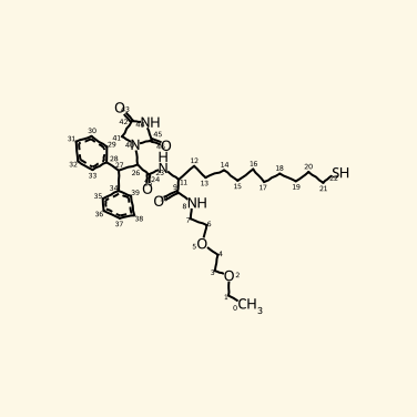 CCOCCOCCNC(=O)C(CCCCCCCCCCS)NC(=O)C(C(c1ccccc1)c1ccccc1)N1CC(=O)NC1=O